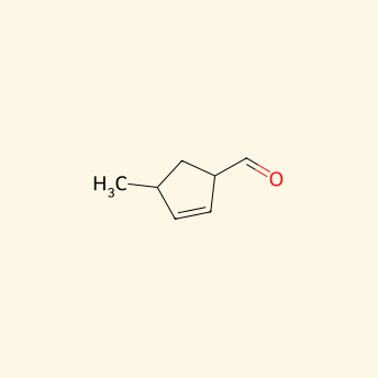 CC1C=CC(C=O)C1